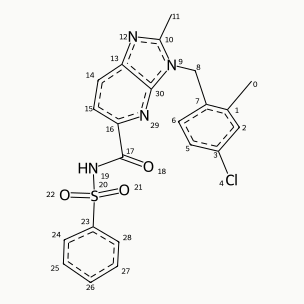 Cc1cc(Cl)ccc1Cn1c(C)nc2ccc(C(=O)NS(=O)(=O)c3ccccc3)nc21